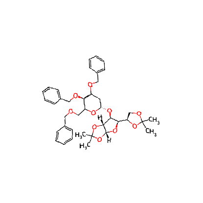 CC1(C)O[C@H]2O[C@H]([C@H]3COC(C)(C)O3)[C@H](O[C@H]3CC(OCc4ccccc4)[C@H](OCc4ccccc4)C(COCc4ccccc4)O3)[C@H]2O1